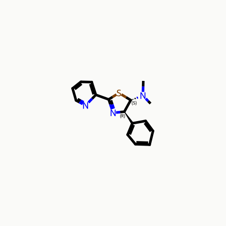 CN(C)[C@H]1SC(c2ccccn2)=N[C@@H]1c1ccccc1